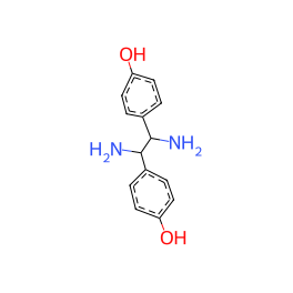 NC(c1ccc(O)cc1)C(N)c1ccc(O)cc1